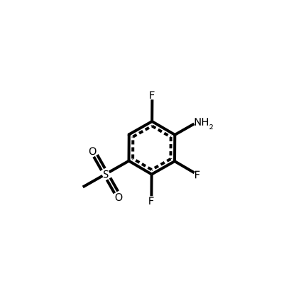 CS(=O)(=O)c1cc(F)c(N)c(F)c1F